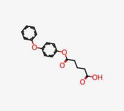 O=C(O)CCCC(=O)Oc1ccc(Oc2ccccc2)cc1